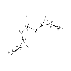 C[C@@H]1CN1O[PH](=O)ON1C[C@H]1C